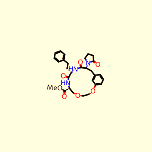 COC(=O)[C@@H]1COCCOc2cccc(c2)C[C@H](N2CCCC2=O)C(=O)N[C@@H](CCc2ccccc2)C(=O)N1